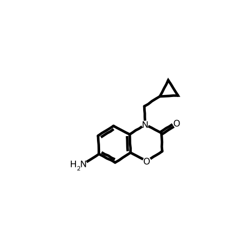 Nc1ccc2c(c1)OCC(=O)N2CC1CC1